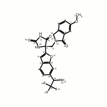 COc1ccc2c(c1)C(=O)N(C[C@@]1(c3cc4ccc(C(N)C(F)(F)F)cc4o3)NC(=O)NC1=O)C2